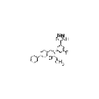 CCC(=O)N(Cc1ccc(-c2ccccc2)cc1)c1cc(F)cc(-c2nnn[nH]2)c1